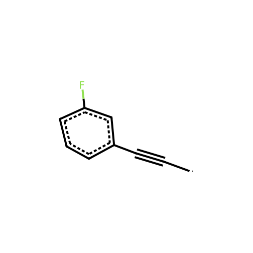 [CH2]C#Cc1cccc(F)c1